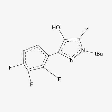 Cc1c(O)c(-c2ccc(F)c(F)c2F)nn1C(C)(C)C